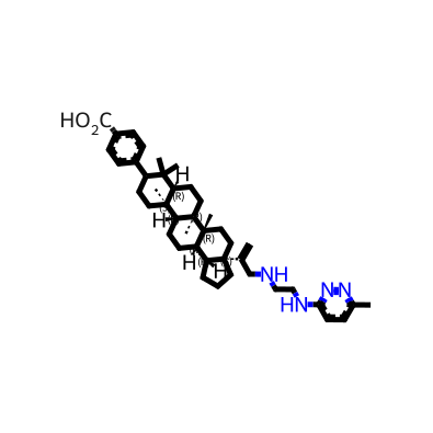 C=C(CNCCNc1ccc(C)nn1)[C@]12CCC[C@@H]1[C@H]1CC[C@@H]3[C@@]4(C)CCC(c5ccc(C(=O)O)cc5)C(C)(C)[C@H]4CC[C@@]3(C)[C@]1(C)CC2